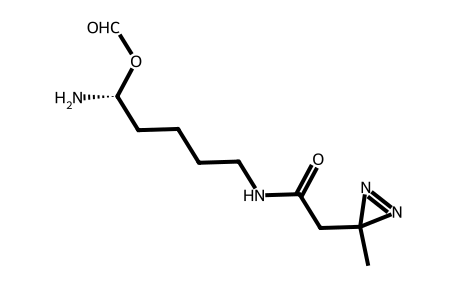 CC1(CC(=O)NCCCC[C@H](N)OC=O)N=N1